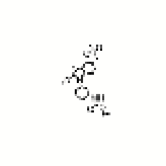 CN(c1ccc2c(c1)nc(N)n2-c1cccc(NC(=O)OC(C)(C)C)c1)S(C)(=O)=O